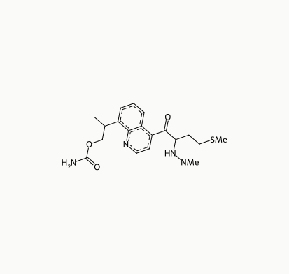 CNNC(CCSC)C(=O)c1ccnc2c(C(C)COC(N)=O)cccc12